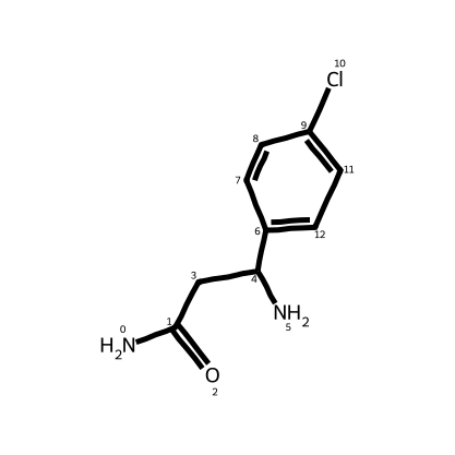 NC(=O)CC(N)c1ccc(Cl)cc1